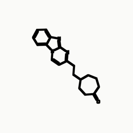 O=C1CCCC(CCc2ccn3c(n2)nc2ccccc23)CC1